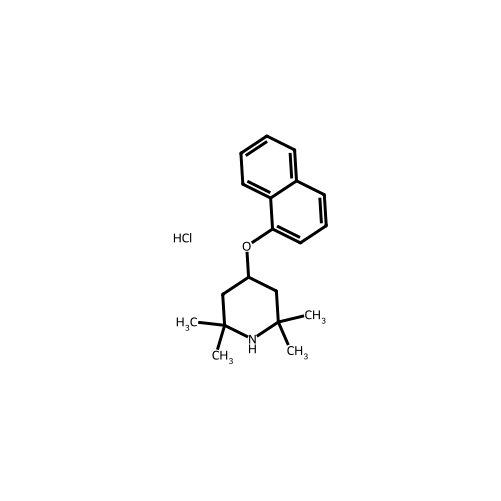 CC1(C)CC(Oc2cccc3ccccc23)CC(C)(C)N1.Cl